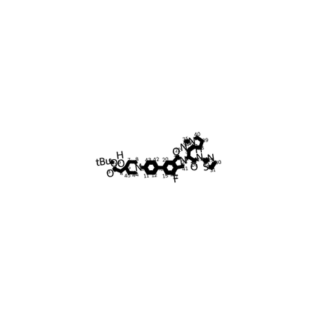 CC(C)(C)OC(=O)CC1(O)CCN(c2ccc(-c3cc(F)c4c(c3)C(=O)N(C(C(=O)Nc3nccs3)c3ncn5c3CCC5)C4)cc2)CC1